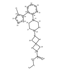 CCOC(=O)N1CC2(CC(N3CCN(c4ncccc4-c4sncc4C)CC3)C2)C1